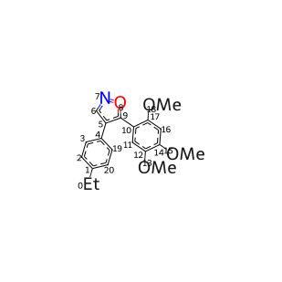 CCc1ccc(-c2cnoc2-c2cc(OC)c(OC)cc2OC)cc1